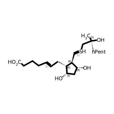 CCCCC[C@](C)(O)C/[SH]=C/[C@@H]1[C@@H](C/C=C/CCCC(=O)O)[C@@H](O)C[C@H]1O